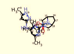 Cc1cc(Nc2cc(C)[nH]n2)nc(N2CC3CCC(C2)N3C(=O)OC(C)(C)C)n1